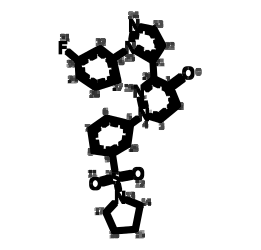 O=c1ccn(-c2cccc(S(=O)(=O)N3CCCC3)c2)nc1-c1ccnn1-c1cccc(F)c1